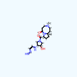 CC(=O)N1CCC(=O)N2[C@H](CC[C@H]2C(=O)N2CC(O)[C@H](N/C=C\N=N)C2)CC1